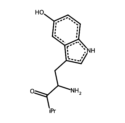 CC(C)C(=O)C(N)Cc1c[nH]c2ccc(O)cc12